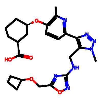 Cc1nc(-c2nnn(C)c2CNc2noc(COC3CCC3)n2)ccc1O[C@H]1CCC[C@H](C(=O)O)C1